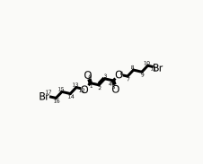 O=C(C=CC(=O)OCCCCBr)OCCCCBr